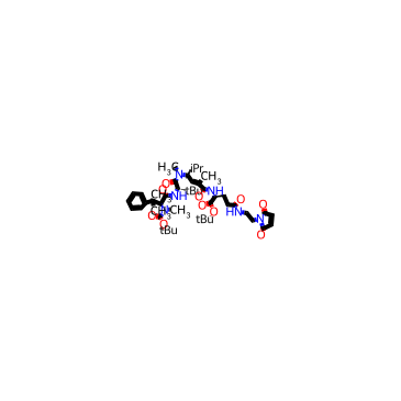 C/C(=C\[C@H](C(C)C)N(C)C(=O)[C@@H](NC(=O)[C@@H](N(C)C(=O)OC(C)(C)C)C(C)(C)c1ccccc1)C(C)(C)C)C(=O)N[C@@H](CCC(=O)NCCN1C(=O)C=CC1=O)C(=O)OC(C)(C)C